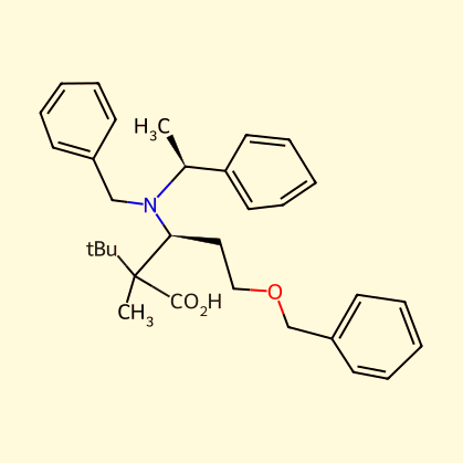 C[C@@H](c1ccccc1)N(Cc1ccccc1)[C@@H](CCOCc1ccccc1)C(C)(C(=O)O)C(C)(C)C